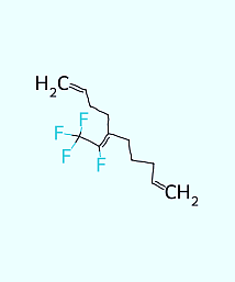 C=CCCCC(CCC=C)=C(F)C(F)(F)F